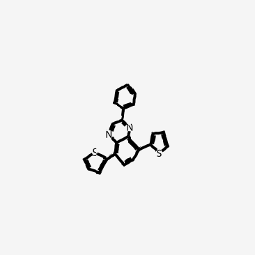 c1ccc(-c2cnc3c(-c4cccs4)ccc(-c4cccs4)c3n2)cc1